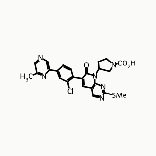 CSc1ncc2cc(-c3ccc(-c4cncc(C)n4)cc3Cl)c(=O)n(C3CCN(C(=O)O)C3)c2n1